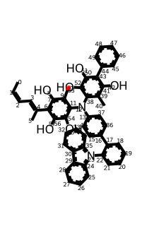 C/C=C\C=C(/C)c1c(O)c(C)c(N(c2ccc(-c3ccccc3-n3c4ccccc4c4ccccc43)cc2)c2c(C)c(O)c(-c3ccccc3)c(O)c2O)c(O)c1O